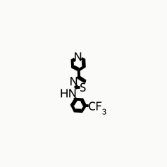 FC(F)(F)c1cccc(Nc2nc(-c3ccncc3)cs2)c1